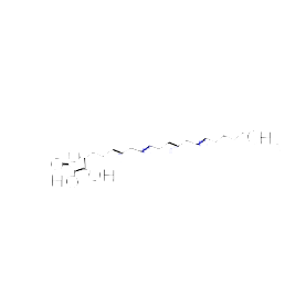 CCCCC/C=C/C/C=C/C/C=C/C/C=C/CCC1OC(=O)C(O)=C1O